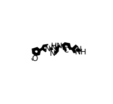 COc1cccc(C2CCN(c3nccc(Nc4ccc(-c5cn[nH]c5)cc4)n3)C2)c1